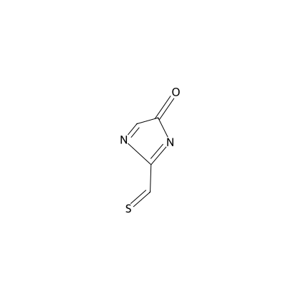 O=C1C=NC(C=S)=N1